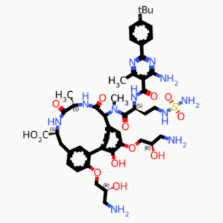 Cc1nc(-c2ccc(C(C)(C)C)cc2)nc(N)c1C(=O)N[C@@H](CCNS(N)(=O)=O)C(=O)N(C)C1C(=O)N[C@@H](C)C(=O)N[C@H](C(=O)O)Cc2ccc(OC[C@H](O)CN)c(c2)-c2cc1cc(OC[C@H](O)CN)c2O